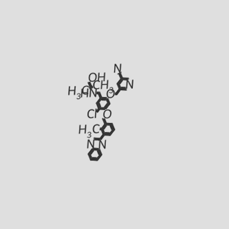 Cc1c(COc2cc(OCc3cncc(C#N)c3)c(CNC(C)(C)CO)cc2Cl)cccc1-c1cnc2ccccc2n1